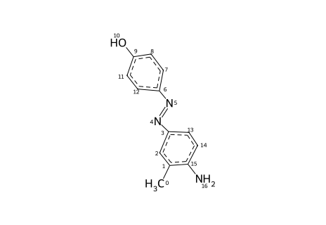 Cc1cc(/N=N/c2ccc(O)cc2)ccc1N